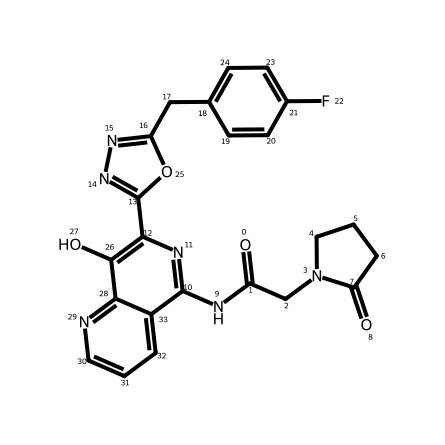 O=C(CN1CCCC1=O)Nc1nc(-c2nnc(Cc3ccc(F)cc3)o2)c(O)c2ncccc12